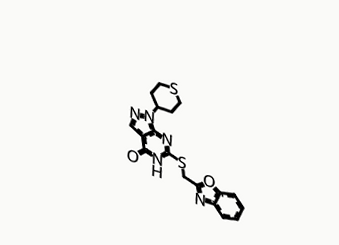 O=c1[nH]c(SCc2nc3ccccc3o2)nc2c1cnn2C1CCSCC1